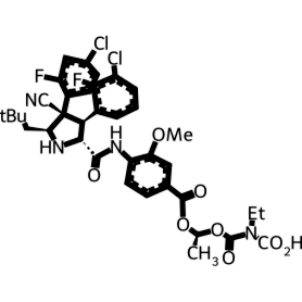 CCN(C(=O)O)C(=O)O[C@@H](C)OC(=O)c1ccc(NC(=O)[C@@H]2N[C@@H](CC(C)(C)C)[C@](C#N)(c3ccc(Cl)cc3F)[C@H]2c2cccc(Cl)c2F)c(OC)c1